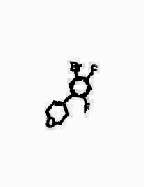 Fc1cc(F)c(C2=CCOCC2)cc1Br